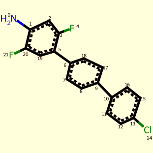 Nc1cc(F)c(-c2ccc(-c3ccc(Cl)cc3)cc2)cc1F